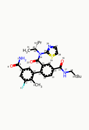 Cc1c(F)cc(C(N)=O)cc1-c1ccc(C(=O)NCC(C)(C)C)cc1C(=O)N(c1nccs1)[C@H](C)C(C)C